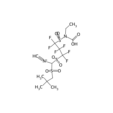 C#[N+]C(S(=O)(=O)CC(C)(C)C)S(=O)(=O)C(F)(F)C(F)(F)C(F)(F)S(=O)(=O)N(CC)C(=O)O